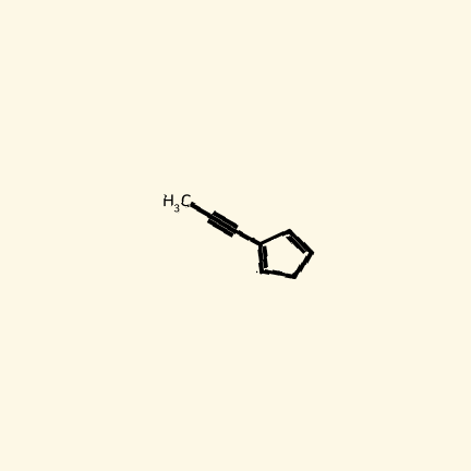 CC#CC1=[C]CC=C1